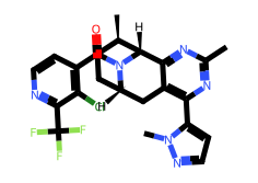 Cc1nc(-c2ccnn2C)c2c(n1)[C@H]1[C@H](C)CC[C@@H](C2)N1C(=O)c1ccnc(C(F)(F)F)c1Cl